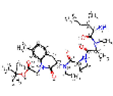 CC[C@H](C)[C@H](N)C(=O)N(C)[C@@H](C)C(=O)N1CC[C@H]1C(=O)N(CC)[C@H]1Cc2ccc(C)cc2N(CC(=O)OC(C)(C)C)C1=O